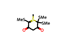 CSC1=S(C)C(SC)(SC)C(=O)CC1=O